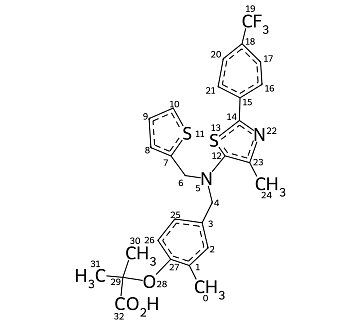 Cc1cc(CN(Cc2cccs2)c2sc(-c3ccc(C(F)(F)F)cc3)nc2C)ccc1OC(C)(C)C(=O)O